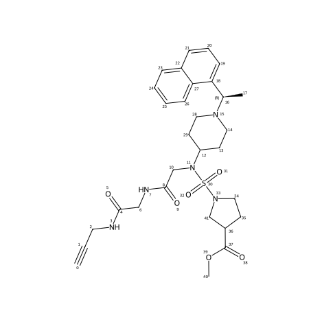 C#CCNC(=O)CNC(=O)CN(C1CCN([C@H](C)c2cccc3ccccc23)CC1)S(=O)(=O)N1CCC(C(=O)OC)C1